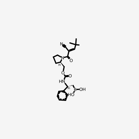 CC(C)(C)C=C(C#N)C(=O)N1CCC[C@@H]1COC(=O)N[C@H](CB(O)O)c1ccccc1